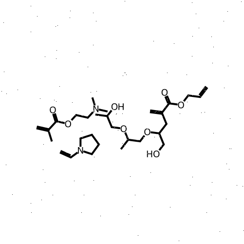 C=C(C)C(=O)OCCN(C)C.C=CCOC(=O)C(=C)CC(CO)OCC(C)OCC(C)O.C=CN1CCCC1